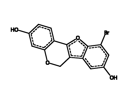 Oc1ccc2c(c1)OCc1c-2oc2c(Br)cc(O)cc12